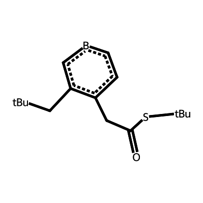 CC(C)(C)Cc1cbccc1CC(=O)SC(C)(C)C